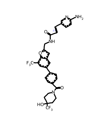 Nc1ccc(/C=C/C(=O)NCc2cc3cc(-c4ccc(C(=O)N5CCC(O)(C(F)(F)F)CC5)cc4)cc(C(F)(F)F)c3o2)cn1